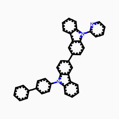 c1ccc(-c2ccc(-n3c4ccccc4c4cc(-c5ccc6c(c5)c5ccccc5n6-c5ccccn5)ccc43)cc2)cc1